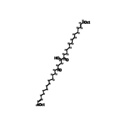 CCCCCCCCC=CCCCCCCCCCCCC(=O)CCC(O)C(=O)CCCCCCCCCCCC=CCCCCCCCC